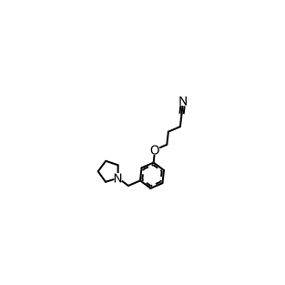 N#CCCCOc1cccc(CN2CCCC2)c1